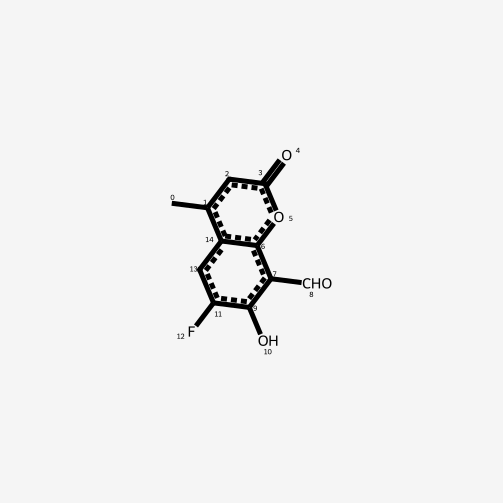 Cc1cc(=O)oc2c(C=O)c(O)c(F)cc12